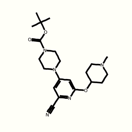 CN1CCC(Oc2cc(N3CCN(C(=O)OC(C)(C)C)CC3)cc(C#N)n2)CC1